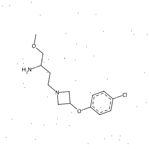 COCC(N)CCN1CC(Oc2ccc(Cl)cc2)C1